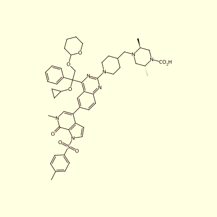 Cc1ccc(S(=O)(=O)n2ccc3c(-c4ccc5nc(N6CCC(CN7C[C@@H](C)N(C(=O)O)C[C@@H]7C)CC6)nc(C(COC6CCCCO6)(OC6CC6)c6ccccc6)c5c4)cn(C)c(=O)c32)cc1